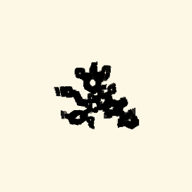 COc1ccc(F)cc1[C@H](Cn1c(=O)n([C@]2(C)CCC(=O)N(C)C2=O)c(=O)c2c(C)c(-n3nccn3)sc21)OCCO